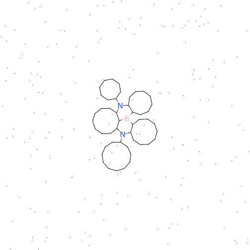 C1CCCCCC(N2C3CCCCCCCCC3B3C4CCCCCCCC4N(C4CCCCCCC4)C4CCCCCCCC2C34)CCCC1